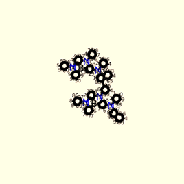 c1ccc(N(c2ccc3c(c2)N(c2cccc(-c4ccc(N(c5ccccc5)c5ccc6c(c5)N(c5ccccc5)c5cccc7c5B6c5ccccc5N7c5ccccc5)c5ccccc45)c2)c2cccc4c2B3c2ccccc2N4c2ccccc2)c2ccc3ccccc3c2)cc1